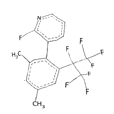 Cc1[c]c(C)c(-c2cccnc2F)c(C(F)(C(F)(F)F)C(F)(F)F)c1